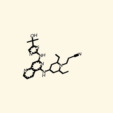 CCC1CC(Nc2nc(Nc3ncc(C(C)(C)O)s3)cc3ncccc23)CC(CC)N1CCC#N